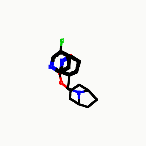 Clc1ccc(OC2CC3CCC(C2)N3Cc2cccnc2)nc1